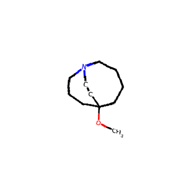 COC12CCCCN(CCC1)CC2